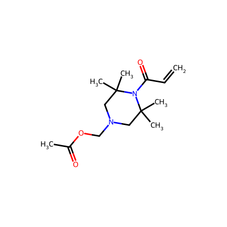 C=CC(=O)N1C(C)(C)CN(COC(C)=O)CC1(C)C